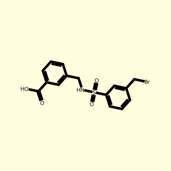 O=C(O)c1cccc(CNS(=O)(=O)c2cccc(CBr)c2)c1